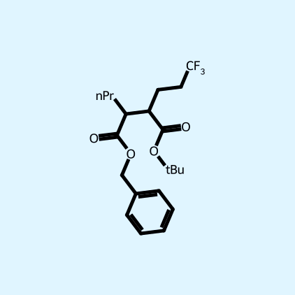 CCCC(C(=O)OCc1ccccc1)C(CCC(F)(F)F)C(=O)OC(C)(C)C